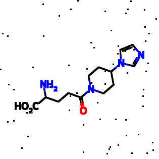 NC(CCC(=O)N1CCC(n2ccnc2)CC1)C(=O)O